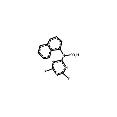 O=S(=O)(O)N(c1nc(F)nc(F)n1)c1cccc2ccccc12